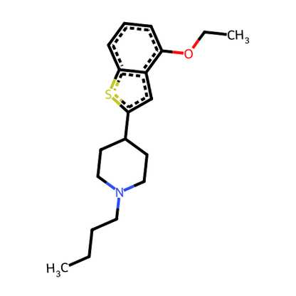 CCCCN1CCC(c2cc3c(OCC)cccc3s2)CC1